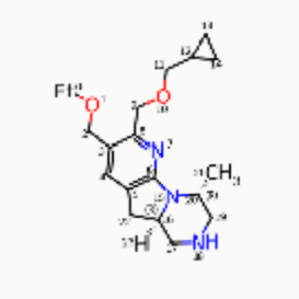 CCOCc1cc2c(nc1COCC1CC1)N1[C@@H](CNC[C@H]1C)C2